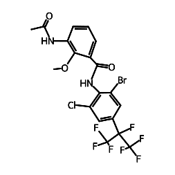 COc1c(NC(C)=O)cccc1C(=O)Nc1c(Cl)cc(C(F)(C(F)(F)F)C(F)(F)F)cc1Br